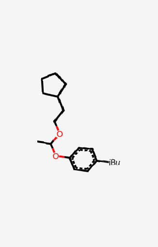 CCC(C)c1ccc(OC(C)OCCC2CCCC2)cc1